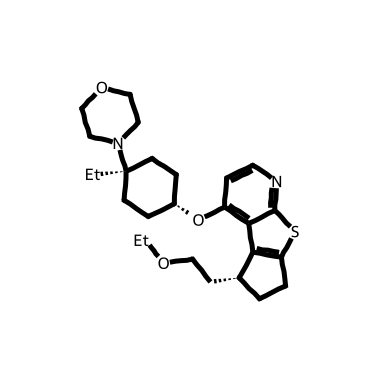 CCOCC[C@H]1CCc2sc3nccc(O[C@H]4CC[C@](CC)(N5CCOCC5)CC4)c3c21